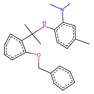 Cc1ccc(PC(C)(C)c2ccccc2OCc2ccccc2)c(N(C)C)c1